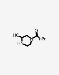 CCCC(=O)N1CCNC(O)C1